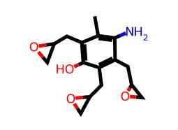 Cc1c(N)c(CC2CO2)c(CC2CO2)c(O)c1CC1CO1